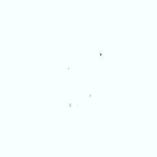 O=C(NC1CCCCC1C(=O)O)c1ccccn1